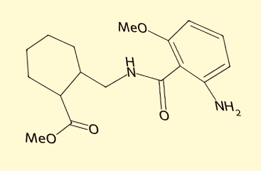 COC(=O)C1CCCCC1CNC(=O)c1c(N)cccc1OC